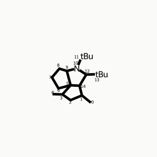 CC1CC(C)C23CCCC2N(C(C)(C)C)C(C(C)(C)C)C13